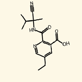 CCc1cnc(C(=O)NC(C)(C#N)C(C)C)c(C(=O)O)c1